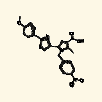 COc1ccc(-c2nc(-c3cc(C(=O)O)c(C)n3Cc3ccc([N+](=O)[O-])cc3)cs2)cc1